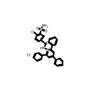 NS(=O)(=O)c1cc(C(=O)N[n+]2c(-c3ccccc3)cc(-c3ccccc3)cc2-c2ccccc2)ccc1Cl.[Cl-]